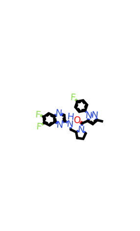 Cc1cc(C(=O)N2CCCC2CNc2cnc3cc(F)c(F)cc3n2)n(-c2ccc(F)cc2)n1